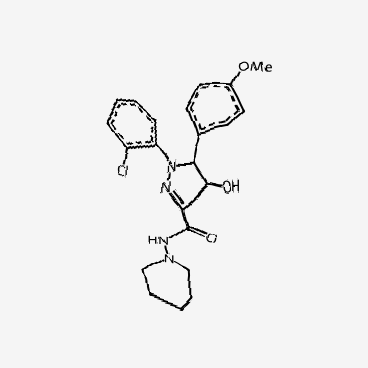 COc1ccc(C2C(O)C(C(=O)NN3CCCCC3)=NN2c2ccccc2Cl)cc1